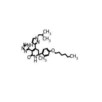 CCCCCCOc1ccc([C@]2(C)CC(c3ccn(CC(C)C)n3)=C(c3nnn[nH]3)C(=O)N2)cc1